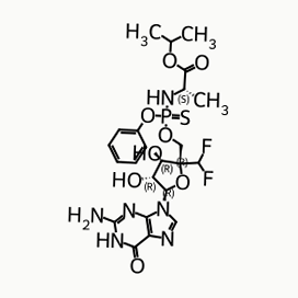 CC(C)OC(=O)[C@H](C)NP(=S)(OC[C@@]1(C(F)F)O[C@@H](n2cnc3c(=O)[nH]c(N)nc32)[C@H](O)[C@H]1O)Oc1ccccc1